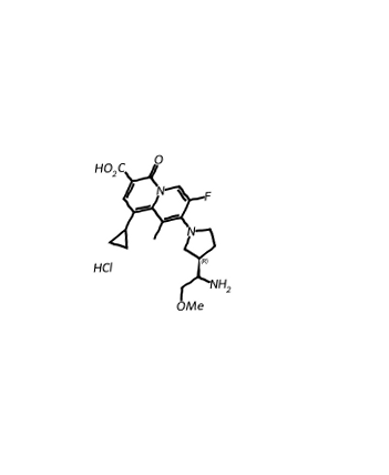 COCC(N)[C@@H]1CCN(c2c(F)cn3c(=O)c(C(=O)O)cc(C4CC4)c3c2C)C1.Cl